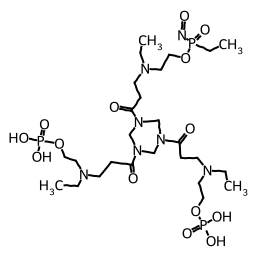 CCN(CCOP(=O)(O)O)CCC(=O)N1CN(C(=O)CCN(CC)CCOP(=O)(O)O)CN(C(=O)CCN(CC)CCOP(=O)(CC)N=O)C1